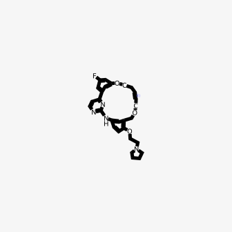 Fc1cc2cc(c1)-c1ccnc(n1)Nc1ccc(OCCN3CCCC3)c(c1)COC/C=C/CCO2